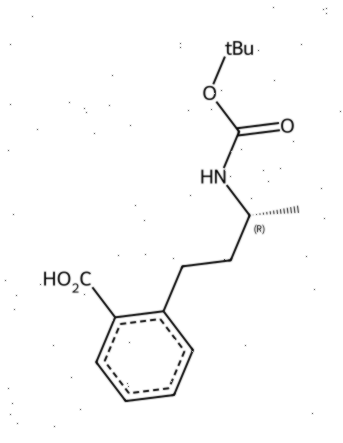 C[C@H](CCc1ccccc1C(=O)O)NC(=O)OC(C)(C)C